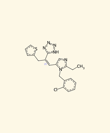 CCc1ncc(/C=C(/Cc2cccs2)c2nnn[nH]2)n1Cc1ccccc1Cl